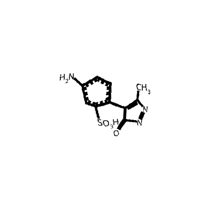 CC1=C(c2ccc(N)cc2S(=O)(=O)O)C(=O)N=N1